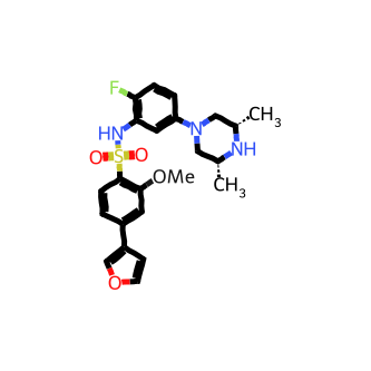 COc1cc(-c2ccoc2)ccc1S(=O)(=O)Nc1cc(N2C[C@@H](C)N[C@@H](C)C2)ccc1F